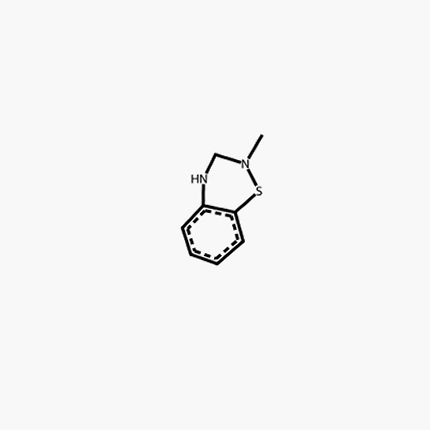 CN1CNc2ccccc2S1